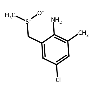 Cc1cc(Cl)cc(C[S+](C)[O-])c1N